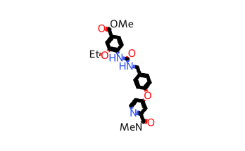 CCOc1cc(C(=O)OC)ccc1NC(=O)NCc1ccc(Oc2ccnc(C(=O)NC)c2)cc1